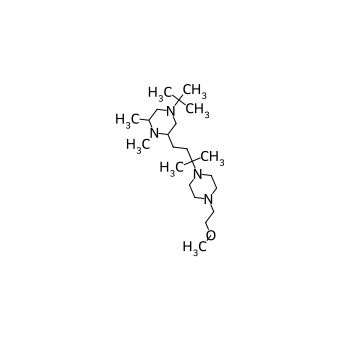 COCCN1CCN(C(C)(C)CCC2CN(C(C)(C)C)CC(C)N2C)CC1